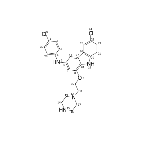 Clc1ccc(Nc2cc(OCCN3CCNCC3)c3[nH]c4ccc(Cl)cc4c3c2)cc1